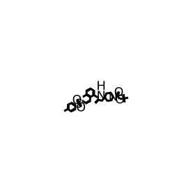 C=CCC1(NCc2cccc(C)c2/C=C\CS(=O)(=O)c2ccc(C)cc2)CCN(C(=O)OC(C)(C)C)CC1